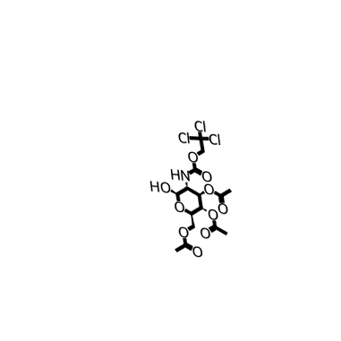 CC(=O)OC[C@H]1O[C@@H](O)[C@H](NC(=O)OCC(Cl)(Cl)Cl)[C@@H](OC(C)=O)[C@@H]1OC(C)=O